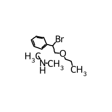 CCCOCC(Br)c1ccccc1.CNC